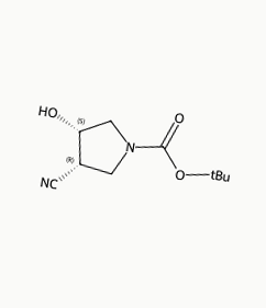 CC(C)(C)OC(=O)N1C[C@@H](O)[C@@H](C#N)C1